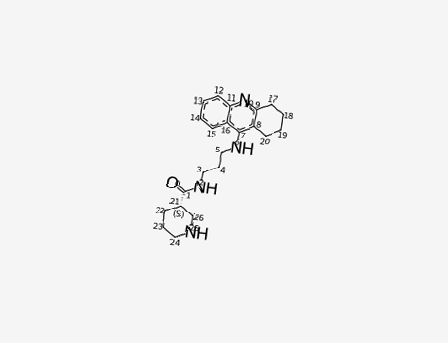 O=C(NCCCNc1c2c(nc3ccccc13)CCCC2)[C@H]1CCCNC1